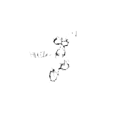 C[C@@H]1CN(c2ccc(C#N)c3ncccc23)C[C@H](CN2CC[C@H](N3CCCCC3)C2)O1.Cl.Cl